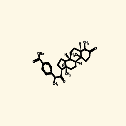 COC(=O)c1ccc(N(C)C(=O)[C@H]2CC[C@H]3[C@@H]4CC[C@H]5N(C)C(=O)CC[C@]5(C)[C@H]4CC[C@]23C)cc1